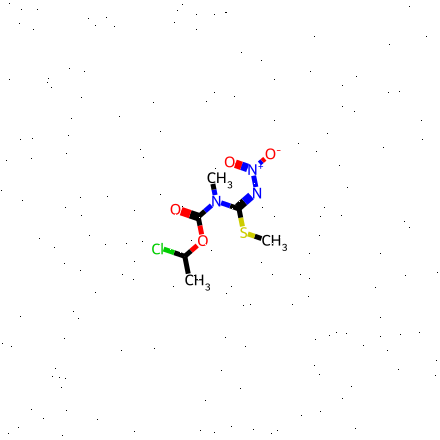 CSC(=N[N+](=O)[O-])N(C)C(=O)OC(C)Cl